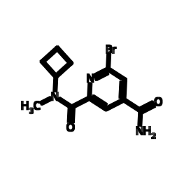 CN(C(=O)c1cc(C(N)=O)cc(Br)n1)C1CCC1